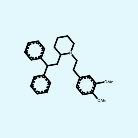 COc1ccc(CCN2CCCCC2CC(c2ccccc2)c2ccccc2)cc1OC